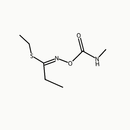 CCSC(CC)=NOC(=O)NC